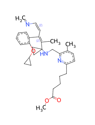 C=N/C=C\C(=C(/C)C1(NCc2nc(CCCCC(=O)OC)ccc2C)CC1)c1ccccc1OC1CC1